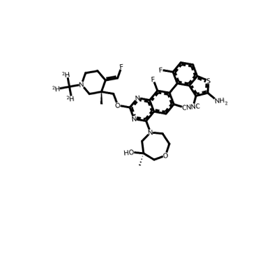 [2H]C([2H])([2H])N1CC/C(=C\F)[C@](C)(COc2nc(N3CCOC[C@@](C)(O)C3)c3cc(C#N)c(-c4c(F)ccc5sc(N)c(C#N)c45)c(F)c3n2)C1